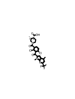 Cc1cc(C(F)(F)F)nc2c1cc(C(=O)c1c(Cl)ccc(C(=O)N3CC[C@@H](C(=O)O)[C@@H](C)C3)c1Cl)n2C